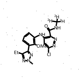 [2H]C([2H])([2H])NC(=O)c1nnc(Cl)cc1Nc1cccc(-c2nn(C)nc2CC)c1OC